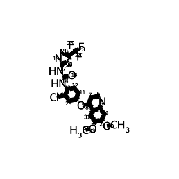 COc1cc2nccc(Oc3ccc(NC(=O)Nc4nnc(C(F)(F)F)s4)c(Cl)c3)c2cc1OC